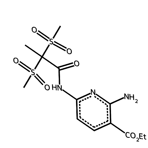 CCOC(=O)c1ccc(NC(=O)C(C)(S(C)(=O)=O)S(C)(=O)=O)nc1N